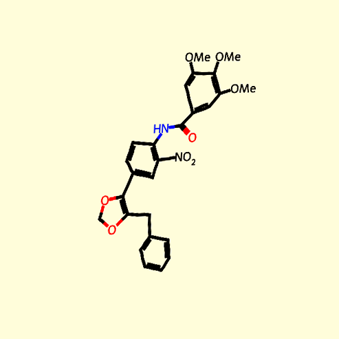 COc1cc(C(=O)Nc2ccc(C3=C(Cc4ccccc4)OCO3)cc2[N+](=O)[O-])cc(OC)c1OC